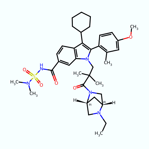 CCN1C[C@H]2C[C@@H]1CN2C(=O)C(C)(C)Cn1c(-c2ccc(OC)cc2C)c(C2CCCCC2)c2ccc(C(=O)NS(=O)(=O)N(C)C)cc21